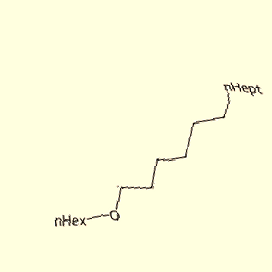 CCCCCCCCCCCC[CH]OCCCCCC